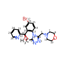 Cc1nnc(CN2CCOCC2)n1-c1ccc(Br)cc1C(=O)c1ccccn1